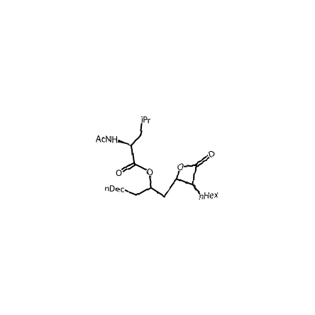 CCCCCCCCCCCC(CC1OC(=O)C1CCCCCC)OC(=O)[C@H](CC(C)C)NC(C)=O